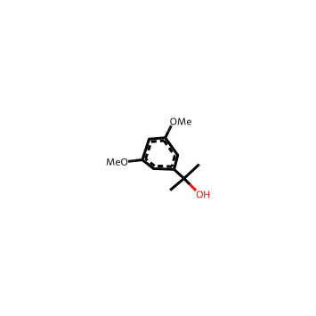 COc1cc(OC)cc(C(C)(C)O)c1